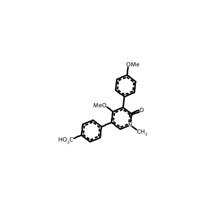 COc1ccc(-c2c(OC)c(-c3ccc(C(=O)O)cc3)cn(C)c2=O)cc1